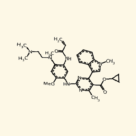 C=CC(=O)Nc1cc(Nc2nc(C)c(C(=O)OC3CC3)c(-c3cn(C)c4ccccc34)n2)c(OC)cc1N(C)CCN(C)C